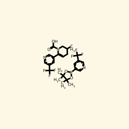 CC1(C)OB(c2cncc(C(F)(F)F)c2)OC1(C)C.CC1CC=C(c2cncc(C(F)(F)F)c2)N(C(=O)O)C1